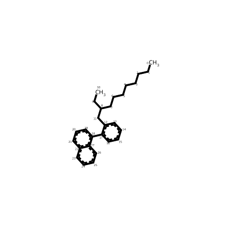 CCCCCCCCC(CC)Cc1ccc[c]c1-c1cccc2ccccc12